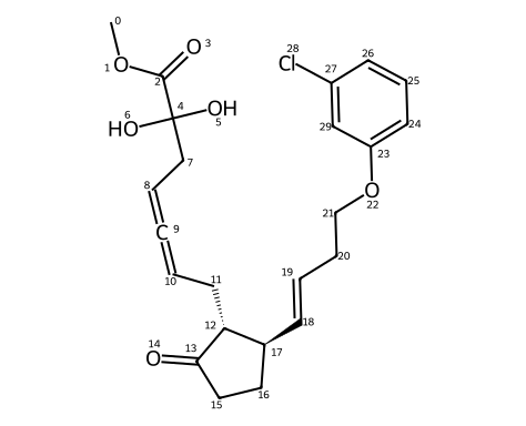 COC(=O)C(O)(O)CC=C=CC[C@H]1C(=O)CC[C@@H]1/C=C/CCOc1cccc(Cl)c1